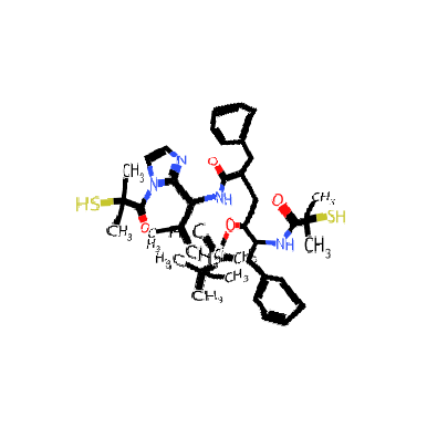 CC(C)C(NC(=O)C(Cc1ccccc1)CC(O[Si](C)(C)C(C)(C)C)C(Cc1ccccc1)NC(=O)C(C)(C)S)c1nccn1C(=O)C(C)(C)S